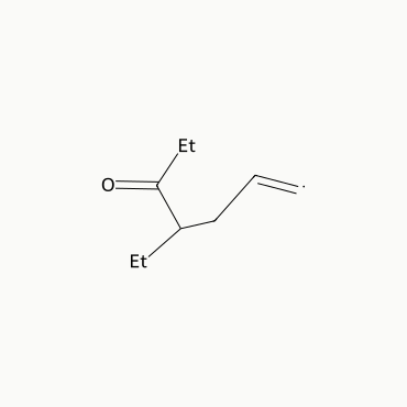 [CH]=CCC(CC)C(=O)CC